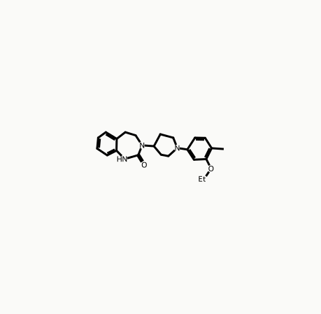 CCOc1cc(N2CCC(N3CCc4ccccc4NC3=O)CC2)ccc1C